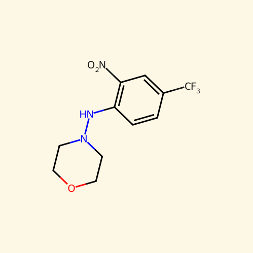 O=[N+]([O-])c1cc(C(F)(F)F)ccc1NN1CCOCC1